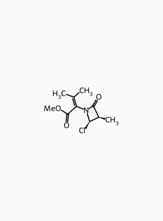 COC(=O)C(=C(C)C)N1C(=O)[C@@H](C)[C@H]1Cl